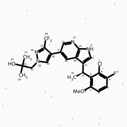 COc1ccc(F)c(Cl)c1[C@@H](C)c1c[nH]c2ncc(-c3cn(CC(C)(C)O)nc3C(F)(F)F)cc12